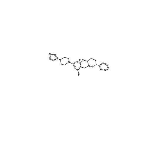 Fc1cc(N2CCC(n3cnnc3)CC2)ccc1CN1S[C@H](c2ccccc2)CC[C@@H]1C(F)(F)F